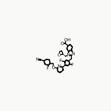 N#Cc1ccc(COc2cccc(-c3cc(F)c(Cc4nc5ccc(C(=O)O)cc5n4C[C@@H]4CCO4)cc3F)n2)c(F)c1